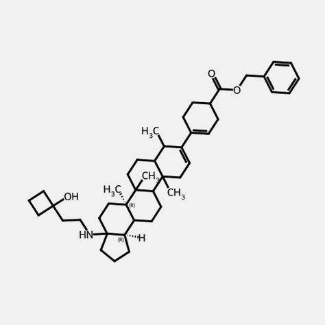 CC1C(C2=CCC(C(=O)OCc3ccccc3)CC2)=CCC2(C)C1CCC1(C)C2CCC2[C@H]3CCCC3(NCCC3(O)CCC3)CC[C@]21C